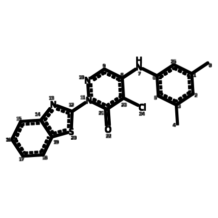 Cc1cc(C)cc(Nc2cnn(-c3nc4ccccc4s3)c(=O)c2Cl)c1